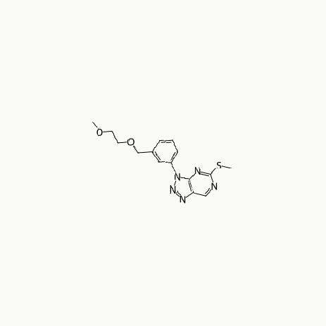 COCCOCc1cccc(-n2nnc3cnc(SC)nc32)c1